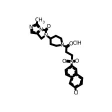 Cc1ncc2n1C(=O)N(C1CCN(C(=O)CCS(=O)(=O)c3ccc4cc(Cl)ccc4c3)CC1)C2.Cl